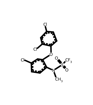 CN(c1ccc(Cl)cc1Oc1ccc(Cl)cc1Cl)S(=O)(=O)C(F)(F)F